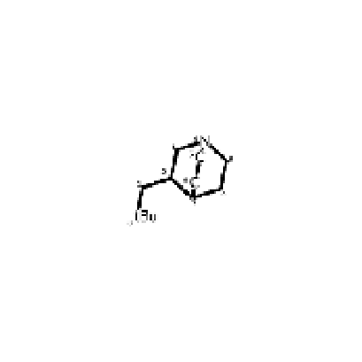 CC(C)(C)CC1CN2CCC1CC2